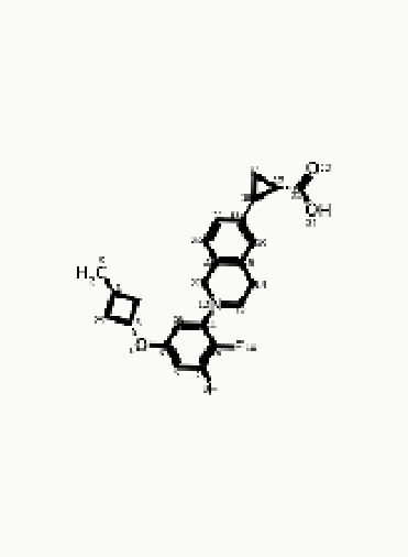 C[C@H]1C[C@H](Oc2cc(F)c(F)c(N3CCc4cc([C@H]5C[C@@H]5C(=O)O)ccc4C3)c2)C1